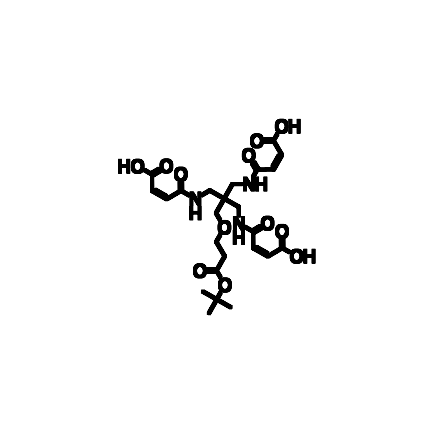 CC(C)(C)OC(=O)CCOCC(CNC(=O)/C=C\C(=O)O)(CNC(=O)/C=C\C(=O)O)CNC(=O)/C=C\C(=O)O